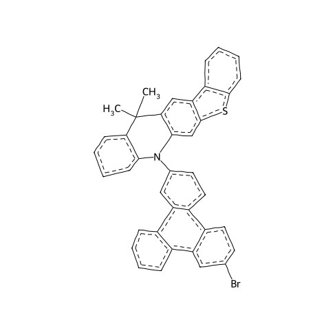 CC1(C)c2ccccc2N(c2ccc3c4ccc(Br)cc4c4ccccc4c3c2)c2cc3sc4ccccc4c3cc21